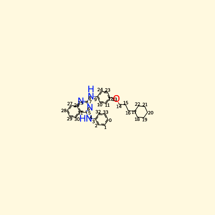 c1ccc(Nc2nc(Nc3ccc(OCCCC4CCCCC4)cc3)nc3ccccc23)cc1